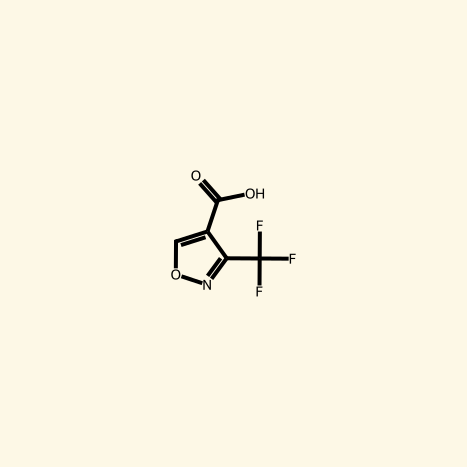 O=C(O)c1conc1C(F)(F)F